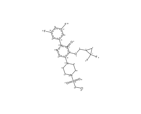 O=c1c(OCC2CC2(F)F)c(N2CCN(S(=O)(=O)CCl)CC2)cnn1-c1cc(F)cc(F)c1